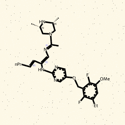 CCC/C=C/C(=C\N=C(/C)N1C[C@@H](C)N[C@@H](C)C1)Nc1ncc(OCc2c(F)c(CC)cc(OC)c2F)cn1